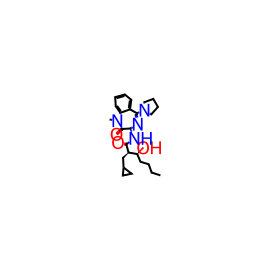 CCCC[C@H](O)[C@@H](CC1CC1)C(=O)N[C@@H]1N=C(N2CCCC2)c2ccccc2N(C)C1=O